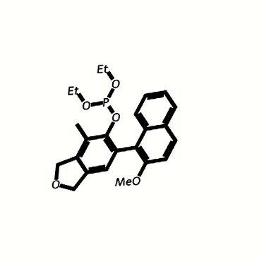 CCOP(OCC)Oc1c(-c2c(OC)ccc3ccccc23)cc2c(c1C)COC2